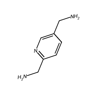 NCc1ccc(CN)nc1